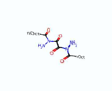 CCCCCCCCC(=O)N(N)C(=O)C(=O)N(N)C(=O)CCCCCCCC